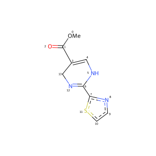 COC(=O)C1=CNC(c2nccs2)=NC1